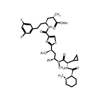 COC(=O)[C@@H](C)C[C@H](CCc1cc(F)cc(F)c1)NC(=O)c1csc([C@@H](C[C@H](C(C)C)N(C)C(=O)[C@@H](NC(=O)[C@H]2CCCCN2C)C2CC2)OC(C)=O)n1